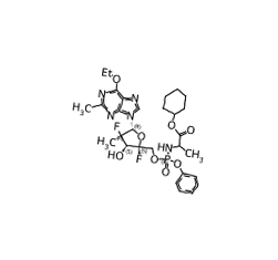 CCOc1nc(C)nc2c1ncn2[C@@H]1O[C@](F)(CO[P@](=O)(NC(C)C(=O)OC2CCCCC2)Oc2ccccc2)[C@@H](O)[C@@]1(C)F